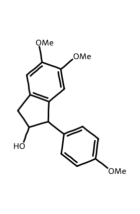 COc1ccc(C2c3cc(OC)c(OC)cc3CC2O)cc1